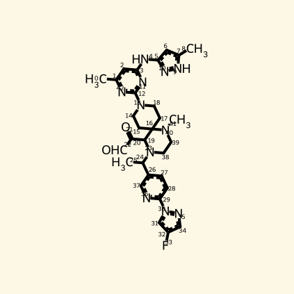 Cc1cc(Nc2cc(C)[nH]n2)nc(N2CCC3(CC2)C(C(=O)C=O)N(C(C)c2ccc(-n4cc(F)cn4)nc2)CCN3C)n1